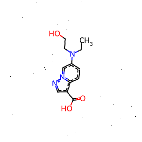 CCN(CCO)c1ccc2c(C(=O)O)cnn2c1